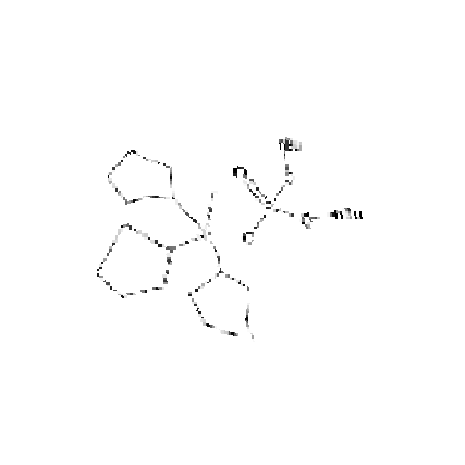 CCCCOP(=O)(OCCCC)OP(C)(C1CCCC1)(C1CCCC1)C1CCCC1